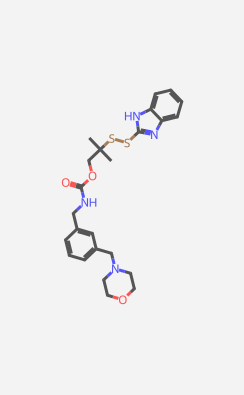 CC(C)(COC(=O)NCc1cccc(CN2CCOCC2)c1)SSc1nc2ccccc2[nH]1